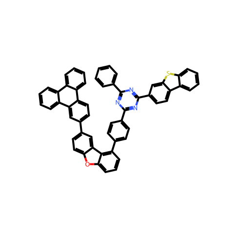 c1ccc(-c2nc(-c3ccc(-c4cccc5oc6ccc(-c7ccc8c9ccccc9c9ccccc9c8c7)cc6c45)cc3)nc(-c3ccc4c(c3)sc3ccccc34)n2)cc1